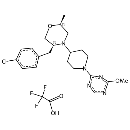 COc1ncnc(N2CCC(N3C[C@H](C)OC[C@@H]3Cc3ccc(Cl)cc3)CC2)n1.O=C(O)C(F)(F)F